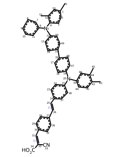 Cc1ccc(N(c2ccccc2)c2ccc(-c3ccc(N(c4ccc(/C=C/c5ccc(/C=C(\C#N)C(=O)O)cc5)cc4)c4ccc(C)c(C)c4)cc3)cc2)c(C)c1